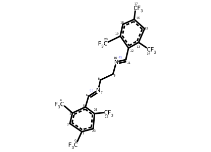 FC(F)(F)c1cc(C(F)(F)F)c(/C=N/CC/N=C/c2c(C(F)(F)F)cc(C(F)(F)F)cc2C(F)(F)F)c(C(F)(F)F)c1